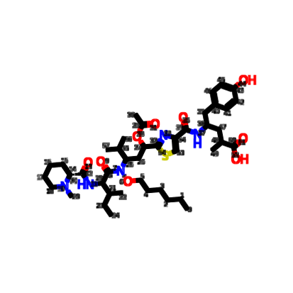 CCCCCCON(C(=O)C(NC(=O)[C@H]1CCCCN1C)C(C)CC)C(CC(OC(C)=O)c1nc(C(=O)NC(Cc2ccc(O)cc2)CC(C)C(=O)O)cs1)C(C)C